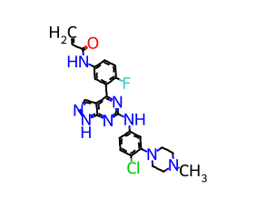 C=CC(=O)Nc1ccc(F)c(-c2nc(Nc3ccc(Cl)c(N4CCN(C)CC4)c3)nc3[nH]ncc23)c1